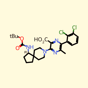 Cc1nc(N2CCC3(CCC[C@H]3NC(=O)OC(C)(C)C)CC2)c(C(=O)O)nc1-c1cccc(Cl)c1Cl